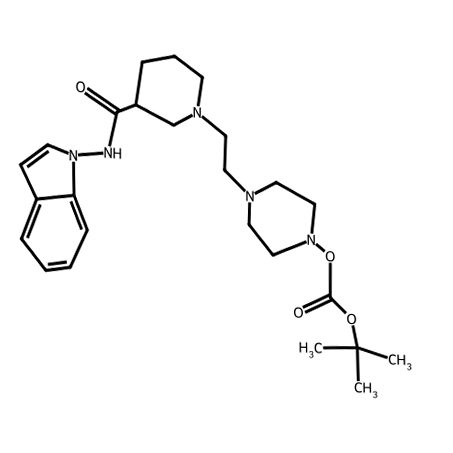 CC(C)(C)OC(=O)ON1CCN(CCN2CCCC(C(=O)Nn3ccc4ccccc43)C2)CC1